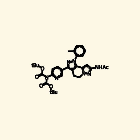 CC(=O)Nc1cc2n(n1)CCc1c(-c3ccc(N(C(=O)OC(C)(C)C)C(=O)OC(C)(C)C)nc3)nn(-c3ccccc3C)c1-2